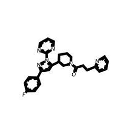 O=C(CCc1ccccn1)N1CCCC(c2cc(-c3ccc(F)cc3)nn2-c2ncccn2)C1